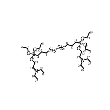 CCO[Si](CCCSSSSCCC[Si](OCC)(OCC)OCCN(CC)CC)(OCC)OCCN(CC)CC